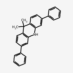 CC1(C)c2ccc(-c3ccccc3)cc2Nc2cc(-c3ccccc3)ccc21